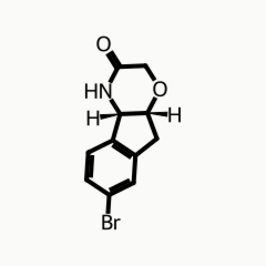 O=C1CO[C@@H]2Cc3cc(Br)ccc3[C@@H]2N1